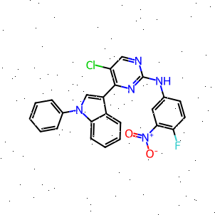 O=[N+]([O-])c1cc(Nc2ncc(Cl)c(-c3cn(-c4ccccc4)c4ccccc34)n2)ccc1F